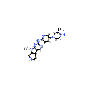 CC[C@H](C)n1c2cnccc2c2cnc(Nc3ccc(N4CCN[C@@H](C)C4)cn3)nc21